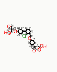 O=C(O)CC1(c2ccc(OCc3cccc(-c4ccc(OCC5(CO)COC5)cc4)c3Cl)cc2)COC1